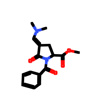 COC(=O)C1C/C(=C\N(C)C)C(=O)N1C(=O)c1ccccc1